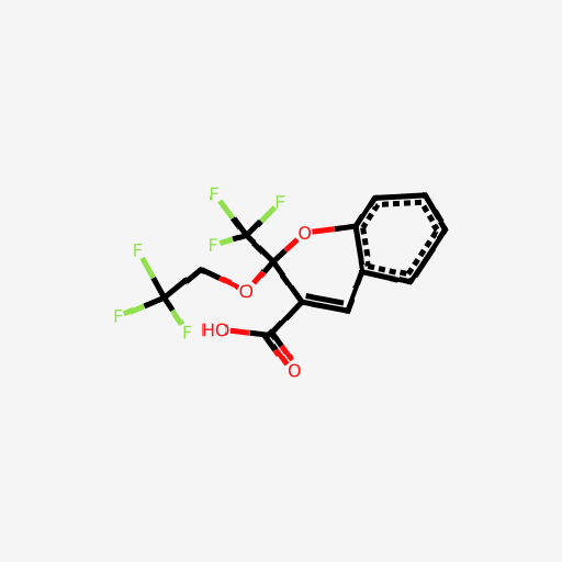 O=C(O)C1=Cc2ccccc2OC1(OCC(F)(F)F)C(F)(F)F